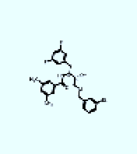 CCc1cccc(CNC[C@@H](O)[C@H](Cc2cc(F)cc(F)c2)NC(=O)c2cc(C)cc(C)c2)c1